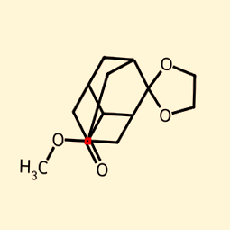 COC(=O)C1C2CC3CC(C2)C2(OCCO2)C1C3